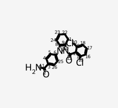 NC(=O)c1ccc(-n2c3c(n2C(=O)c2c(Cl)cccc2Cl)CCC=C3)cc1